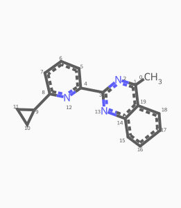 Cc1nc(-c2cccc(C3CC3)n2)nc2ccccc12